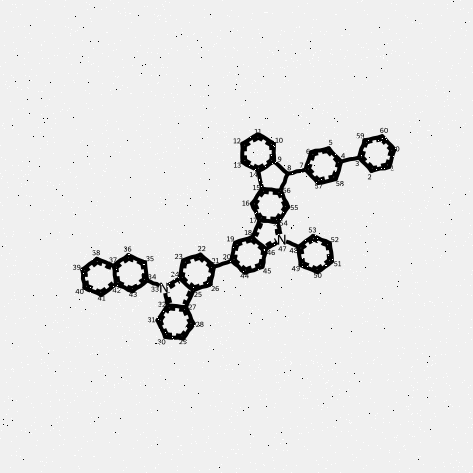 c1ccc(-c2ccc(C3c4ccccc4-c4cc5c6cc(-c7ccc8c(c7)c7ccccc7n8-c7ccc8ccccc8c7)ccc6n(-c6ccccc6)c5cc43)cc2)cc1